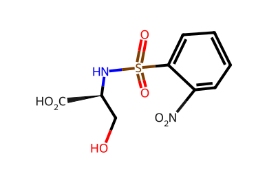 O=C(O)[C@H](CO)NS(=O)(=O)c1ccccc1[N+](=O)[O-]